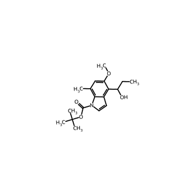 CCC(O)c1c(OC)cc(C)c2c1ccn2C(=O)OC(C)(C)C